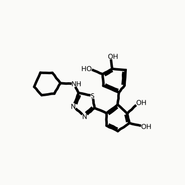 Oc1ccc(-c2c(-c3nnc(NC4CCCCC4)s3)ccc(O)c2O)cc1O